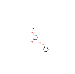 CC(C)(C)OC(=O)N1CC[C@H](NC(=O)OCc2ccccc2)[C@@H](C(=O)O)C1